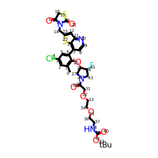 Cc1cc(Cl)cc(-c2ccnc3cc(CN4C(=O)CSC4=O)sc23)c1O[C@@H]1CN(C(=O)COCCOCCNC(=O)OC(C)(C)C)C[C@@H]1F